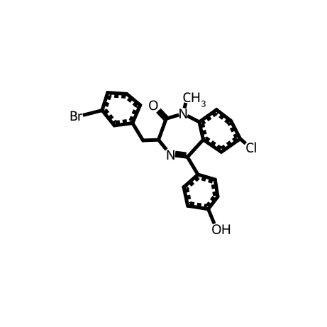 CN1C(=O)C(Cc2cccc(Br)c2)N=C(c2ccc(O)cc2)c2cc(Cl)ccc21